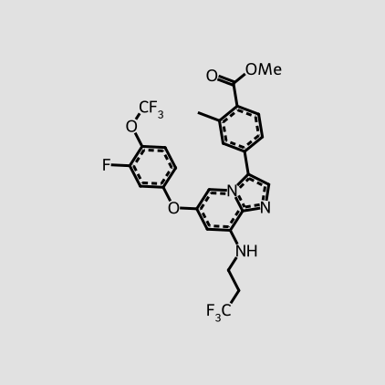 COC(=O)c1ccc(-c2cnc3c(NCCC(F)(F)F)cc(Oc4ccc(OC(F)(F)F)c(F)c4)cn23)cc1C